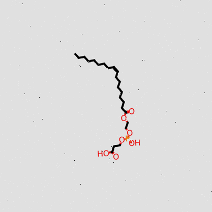 CCCCCCCC/C=C\CCCCCCCC(=O)OCCOP(O)OCCC(=O)O